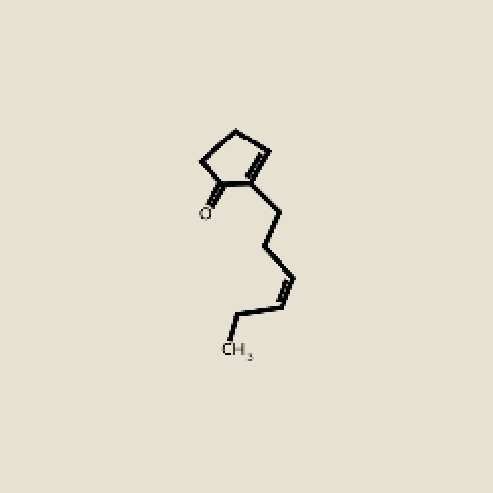 CC/C=C\CCC1=CCCC1=O